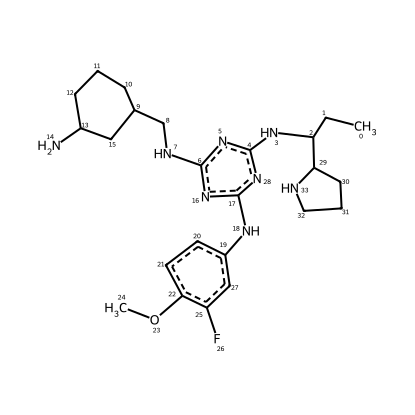 CCC(Nc1nc(NCC2CCCC(N)C2)nc(Nc2ccc(OC)c(F)c2)n1)C1CCCN1